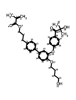 C=C(C)C(=O)OCCCc1ccc(-c2ccc(OCCCCO)c(Oc3ccc(C(=O)C(C)(C)O)cc3)c2)cc1